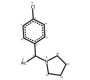 CC(=O)C(c1ccc(Cl)cc1)N1CCCC1